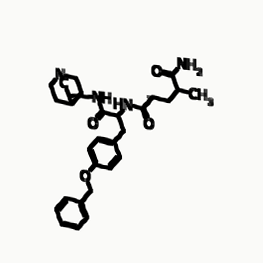 CC(C[CH]C(=O)NC(Cc1ccc(OCc2ccccc2)cc1)C(=O)NC1CN2CCC1CC2)C(N)=O